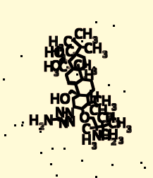 CC(C)[C@@H](C)[C@@]1(C)CC[C@]2(C)[C@H]3CC[C@H]4C(C)(C)[C@@H](OC[C@@](C)(N)C(C)(C)C)[C@H](n5nnc(N)n5)C[C@]4(CO)C3=CC[C@@]2(C)[C@@H]1C(=O)O